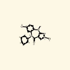 CCn1cc2c(n1)N(C)c1ccc(Cl)cc1N(c1ccccc1)C2=O